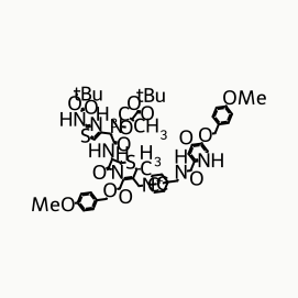 COc1ccc(COC(=O)C2=C(C[N+]34CCC(CNC(=O)c5cc(=O)c(OCc6ccc(OC)cc6)c[nH]5)(CC3)CC4)[C@H](C)S[C@@H]3[C@H](NC(=O)/C(=N\OC(C)(C)C(=O)OC(C)(C)C)c4csc(NC(=O)OC(C)(C)C)n4)C(=O)N23)cc1